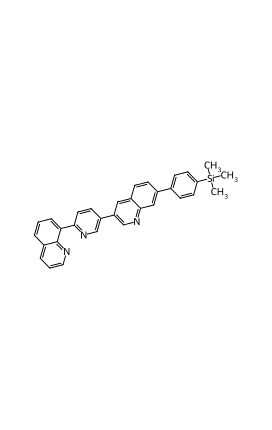 C[Si](C)(C)c1ccc(-c2ccc3cc(-c4ccc(-c5cccc6cccnc56)nc4)cnc3c2)cc1